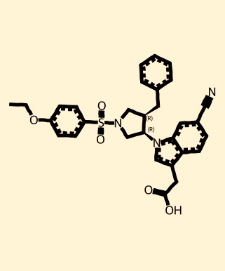 CCOc1ccc(S(=O)(=O)N2C[C@@H](Cc3ccccc3)[C@@H](n3cc(CC(=O)O)c4ccc(C#N)cc43)C2)cc1